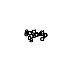 COC(=O)C1Cc2cc(OCc3c(Cl)cccc3Cl)ccc2C1c1cc2c(cc1Cl)OCO2